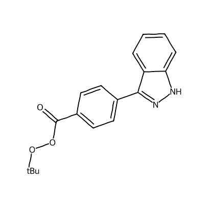 CC(C)(C)OOC(=O)c1ccc(-c2n[nH]c3ccccc23)cc1